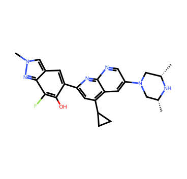 C[C@@H]1CN(c2cnc3nc(-c4cc5cn(C)nc5c(F)c4O)cc(C4CC4)c3c2)C[C@H](C)N1